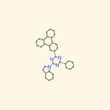 c1ccc(-c2nc(-c3ccc4c5ccccc5c5ccccc5c4c3)nc(-n3ccc4ccccc43)n2)cc1